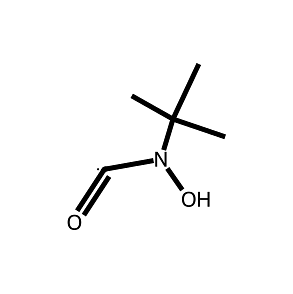 CC(C)(C)N(O)[C]=O